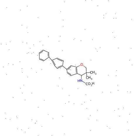 CC1(C)COc2cc(-c3ccc(-c4ccccc4)cc3)ccc2C1NC(=O)O